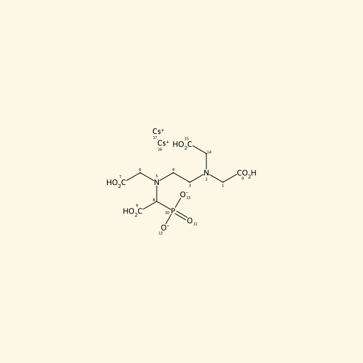 O=C(O)CN(CCN(CC(=O)O)C(C(=O)O)P(=O)([O-])[O-])CC(=O)O.[Cs+].[Cs+]